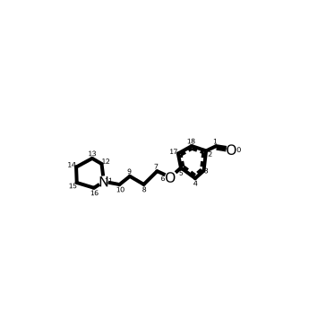 O=Cc1ccc(OCCCCN2CCCCC2)cc1